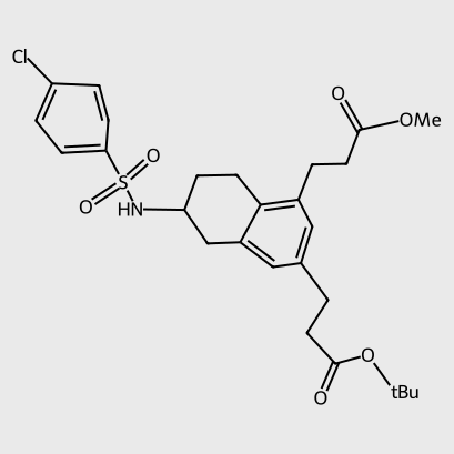 COC(=O)CCc1cc(CCC(=O)OC(C)(C)C)cc2c1CCC(NS(=O)(=O)c1ccc(Cl)cc1)C2